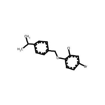 CC(C)c1ccc(COc2ccc(Br)cc2Cl)cc1